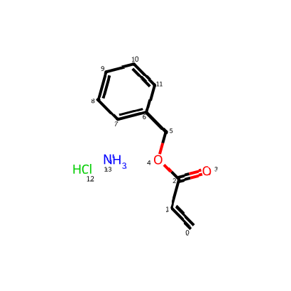 C=CC(=O)OCc1ccccc1.Cl.N